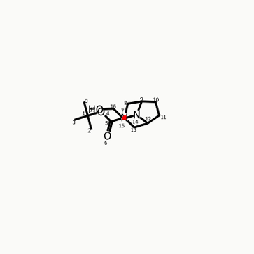 CC(C)(C)OC(=O)N1CC2CCC(C1)N2CCO